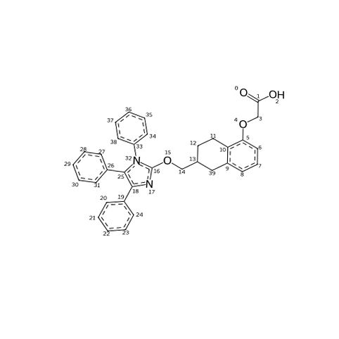 O=C(O)COc1cccc2c1CCC(COc1nc(-c3ccccc3)c(-c3ccccc3)n1-c1ccccc1)C2